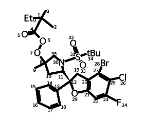 CCC(C)(C)C(=O)OOC1(C)CC([C@@]2(c3ccccc3)Cc3c(cc(F)c(Cl)c3Br)O2)N(S(=O)(=O)C(C)(C)C)C1